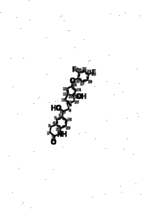 O=C1CCc2cc([C@@H](O)CN3CC4=CC(Oc5ccc(F)cc5F)=C[C@@]4(O)C3)ccc2N1